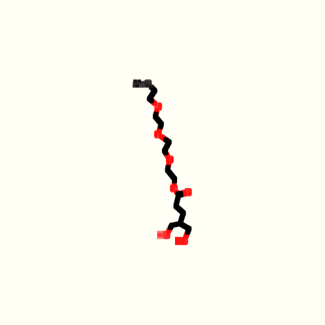 COCCOCCOCCOCCOC(=O)CCC(CO)CO